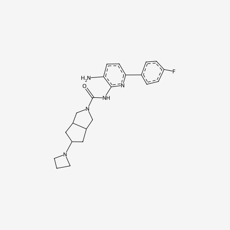 Nc1ccc(-c2ccc(F)cc2)nc1NC(=O)N1CC2CC(N3CCC3)CC2C1